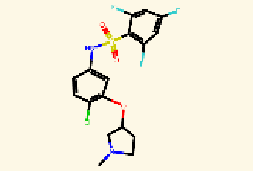 CN1CCC(Oc2cc(NS(=O)(=O)c3c(F)cc(F)cc3F)ccc2Cl)C1